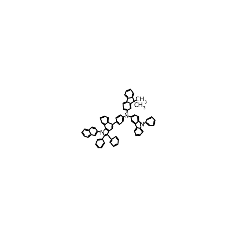 CC1(C)c2ccccc2-c2ccc(N(c3ccc(-c4cc5c(-c6ccccc6)c(-c6ccccc6)n(-c6ccc7ccccc7c6)c5c5ccccc45)cc3)c3ccc4c(c3)c3ccccc3n4-c3ccccc3)cc21